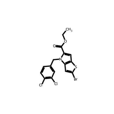 CCOC(=O)c1cc2sc(Br)cc2n1Cc1ccc(Cl)c(Cl)c1